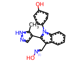 Cc1[nH]ncc1-c1c(/C=N/O)c2ccccc2n1-c1ccc(O)cc1